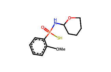 COc1ccccc1P(=O)(S)NC1CCCCO1